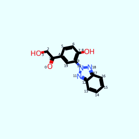 O=C(CO)c1ccc(O)c(-n2nc3ccccc3n2)c1